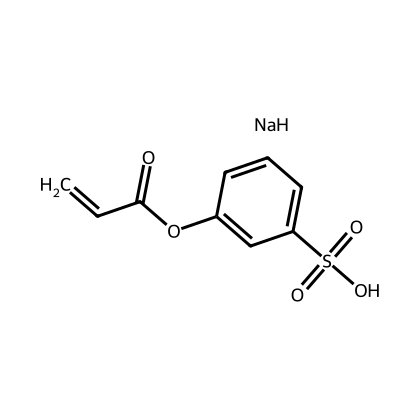 C=CC(=O)Oc1cccc(S(=O)(=O)O)c1.[NaH]